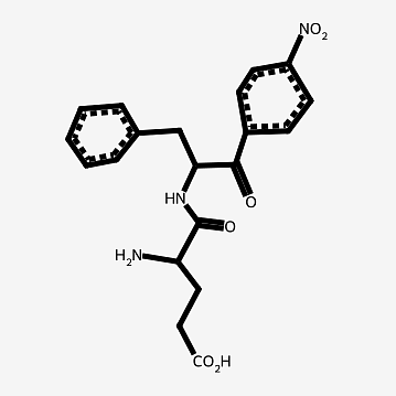 NC(CCC(=O)O)C(=O)NC(Cc1ccccc1)C(=O)c1ccc([N+](=O)[O-])cc1